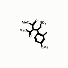 COC(=O)C(C(=O)OC)C(C[N+](=O)[O-])c1ccc(OC)cc1C